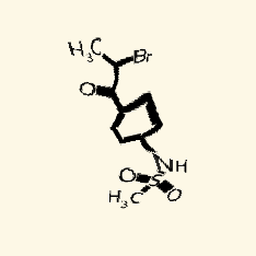 CC(Br)C(=O)c1ccc(NS(C)(=O)=O)cc1